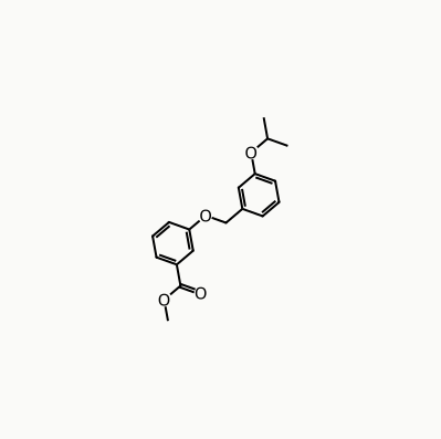 COC(=O)c1cccc(OCc2cccc(OC(C)C)c2)c1